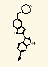 N#Cc1ccc2c(-c3cc4cc(CN5CCOCC5)ccc4[nH]3)n[nH]c2c1